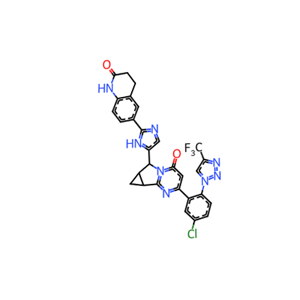 O=C1CCc2cc(-c3ncc(C4C5CC5c5nc(-c6cc(Cl)ccc6-n6cc(C(F)(F)F)nn6)cc(=O)n54)[nH]3)ccc2N1